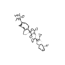 CNC(=O)Nc1ccc2c(c1)CC[C@@]21OC(=O)N(CC(=O)N(Cc2cccc(F)c2)[C@@H](C)C2CC2)C1=O